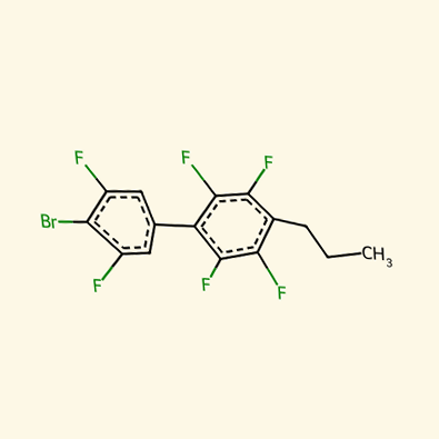 CCCc1c(F)c(F)c(-c2cc(F)c(Br)c(F)c2)c(F)c1F